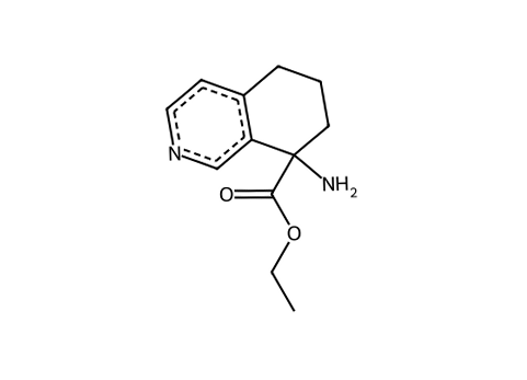 CCOC(=O)C1(N)CCCc2ccncc21